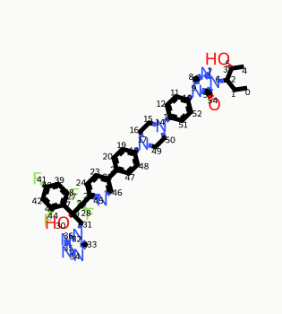 CCC(C(C)O)n1ncn(-c2ccc(N3CCN(c4ccc(-c5ccc(C(F)(F)C(O)(Cn6cnnn6)c6ccc(F)cc6F)nc5)cc4)CC3)cc2)c1=O